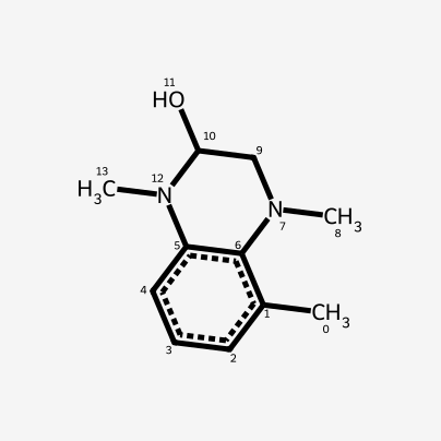 Cc1cccc2c1N(C)CC(O)N2C